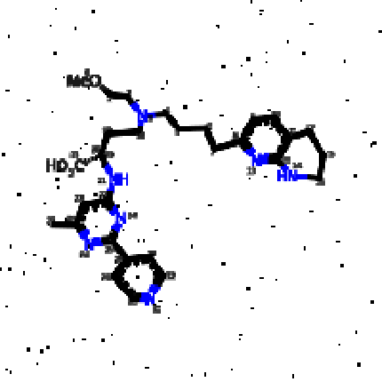 COCCN(CCCCc1ccc2c(n1)NCCC2)CC[C@H](Nc1cc(C)nc(-c2ccncc2)n1)C(=O)O